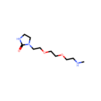 CNCCOCCOCCN1CCNC1=O